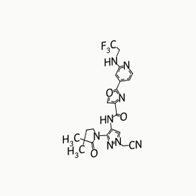 CC1(C)CCN(c2nn(CC#N)cc2NC(=O)c2coc(-c3ccnc(NCC(F)(F)F)c3)n2)C1=O